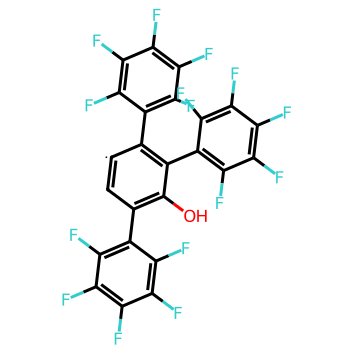 Oc1c(-c2c(F)c(F)c(F)c(F)c2F)c[c]c(-c2c(F)c(F)c(F)c(F)c2F)c1-c1c(F)c(F)c(F)c(F)c1F